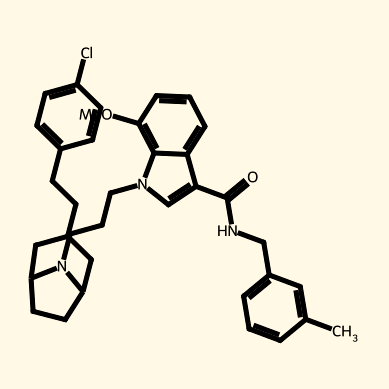 COc1cccc2c(C(=O)NCc3cccc(C)c3)cn(CCCN3C4CCC3CC(CCc3ccc(Cl)cc3)C4)c12